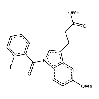 COC(=O)CCc1cn(C(=O)c2ccccc2I)c2ccc(OC)cc12